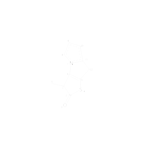 CC1C(=O)SC2=C1n1cccc1C2